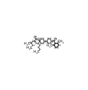 CCCC[C@H]1CN(CC(C)CC)C(=O)OC12CCN(C1CCN(C(=O)c3c(C)cccc3C)CC1)CC2